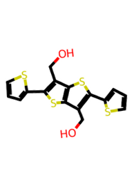 OCc1c(-c2cccs2)sc2c(CO)c(-c3cccs3)sc12